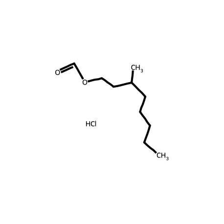 CCCCCC(C)CCOC=O.Cl